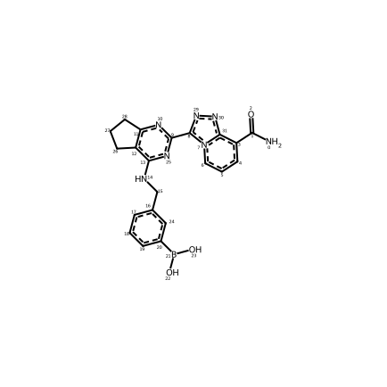 NC(=O)c1cccn2c(-c3nc4c(c(NCc5cccc(B(O)O)c5)n3)CCC4)nnc12